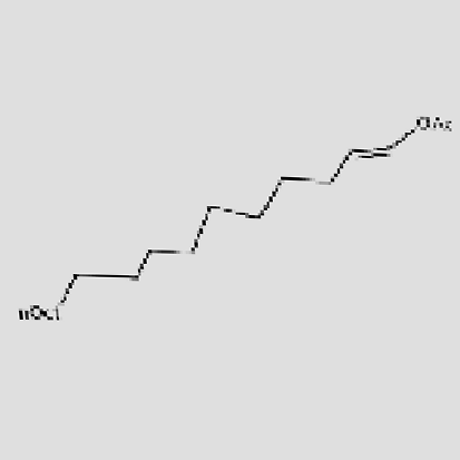 CCCCCCCCCCCCCCCCC=COC(C)=O